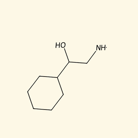 [NH]CC(O)C1CCCCC1